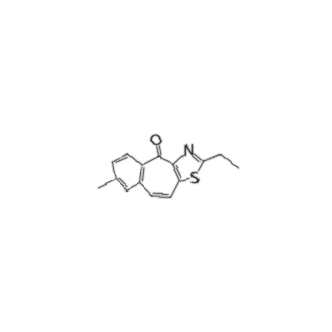 CCc1nc2c(=O)c3ccc(C)cc3ccc2s1